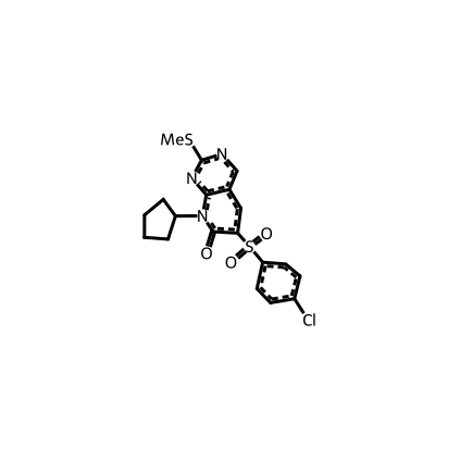 CSc1ncc2cc(S(=O)(=O)c3ccc(Cl)cc3)c(=O)n(C3CCCC3)c2n1